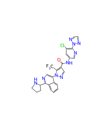 O=C(Nc1cnc(-n2nccn2)c(Cl)c1)c1cnn(-c2cnc(C3CCCN3)c3ccccc23)c1C(F)(F)F